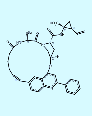 C=C[C@@H]1C[C@]1(NC(=O)[C@@H]1C[C@@H]2CN1C(=O)[C@H](CCCC)NC(=O)CCC/C=C\c1ccc3nc(-c4ccccc4)cc(c3c1)O2)C(=O)O